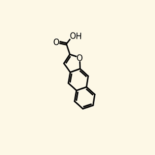 O=C(O)c1cc2cc3ccccc3cc2o1